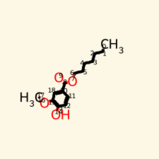 CCCCCCCOC(=O)c1ccc(O)c(OC)c1